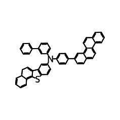 C1=CC2=c3sc4ccc(N(c5ccc(-c6ccc7ccc8c9ccccc9ccc8c7c6)cc5)c5cccc(-c6ccccc6)c5)cc4c3=CCC2C=C1